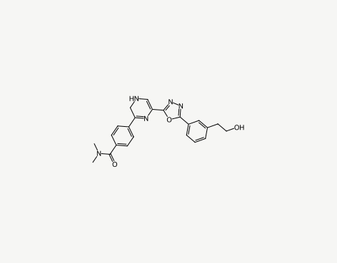 CN(C)C(=O)c1ccc(C2=NC(c3nnc(-c4cccc(CCO)c4)o3)=CNC2)cc1